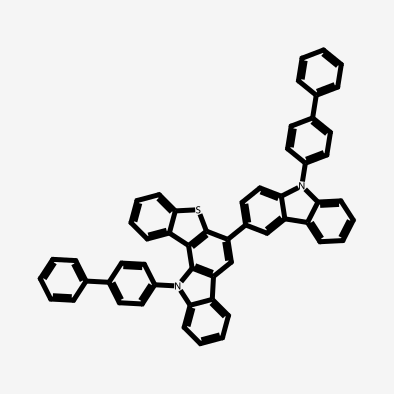 c1ccc(-c2ccc(-n3c4ccccc4c4cc(-c5cc6c7ccccc7n(-c7ccc(-c8ccccc8)cc7)c6c6c5sc5ccccc56)ccc43)cc2)cc1